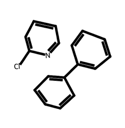 Clc1ccccn1.c1ccc(-c2ccccc2)cc1